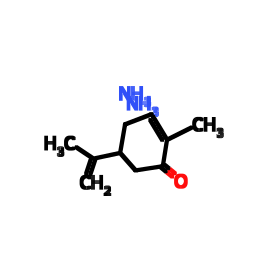 C=C(C)C1CC=C(C)C(=O)C1.N.N